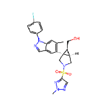 Cc1cc2c(cnn2-c2ccc(F)cc2)cc1[C@@]12CN(S(=O)(=O)c3cnn(C)n3)C[C@@H]1[C@@H]2CO